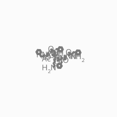 CC(=O)[C@H](Cc1ccccc1)NC(=O)CNC(=O)[C@H](Cc1ccccc1)NC(=O)[C@H](CCCCN)NC(=O)[C@H](Cc1ccccc1)NC(=O)CNC(=O)[C@@H](N)Cc1ccccc1